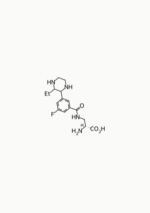 CCC1NCCNC1c1cc(F)cc(C(=O)NC[C@@H](N)C(=O)O)c1